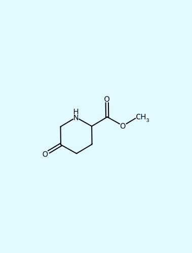 COC(=O)C1CCC(=O)CN1